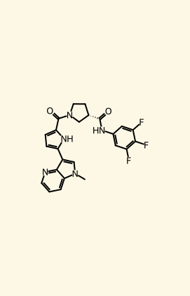 Cn1cc(-c2ccc(C(=O)N3CC[C@H](C(=O)Nc4cc(F)c(F)c(F)c4)C3)[nH]2)c2ncccc21